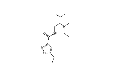 CCc1cc(C(=O)NCC(C(C)C)N(C)CC)no1